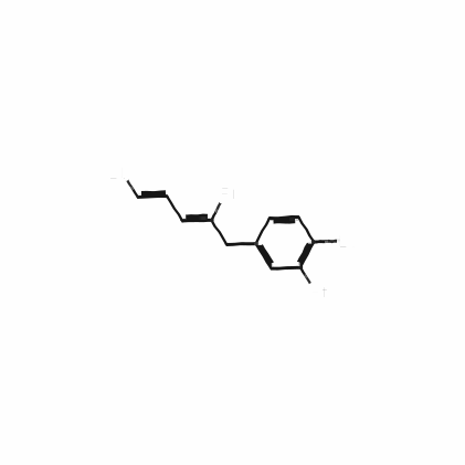 CC/C=C/C=C(\CC)Cc1ccc(CC)c(CC)c1